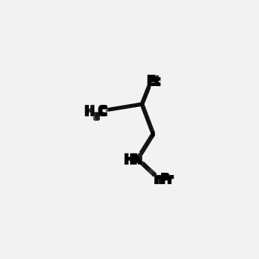 CCCNCC(C)CC